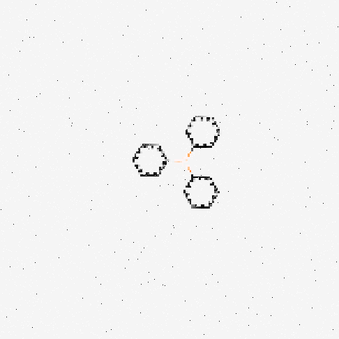 [I].[Re].c1ccc(P(c2ccccc2)c2ccccc2)cc1